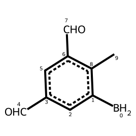 Bc1cc(C=O)cc(C=O)c1C